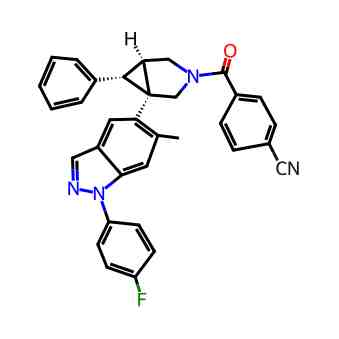 Cc1cc2c(cnn2-c2ccc(F)cc2)cc1[C@@]12CN(C(=O)c3ccc(C#N)cc3)C[C@@H]1[C@H]2c1ccccc1